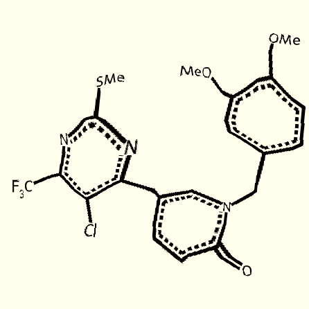 COc1ccc(Cn2cc(-c3nc(SC)nc(C(F)(F)F)c3Cl)ccc2=O)cc1OC